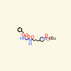 C[C@H](NC(=O)OCc1ccccc1)C(=O)NC(=O)CCCC1CCN(C(=O)OC(C)(C)C)CC1